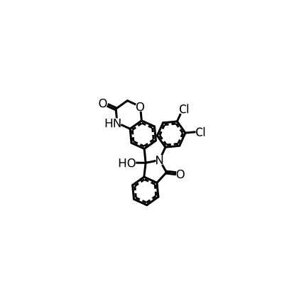 O=C1COc2ccc(C3(O)c4ccccc4C(=O)N3c3ccc(Cl)c(Cl)c3)cc2N1